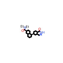 CCN(CC)C(=O)c1ccc2c(-c3ccc4c(=O)[nH]ncc4c3)cccc2c1